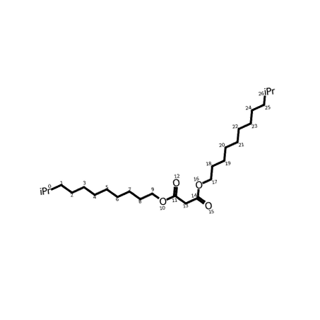 CC(C)CCCCCCCCCOC(=O)CC(=O)OCCCCCCCCCC(C)C